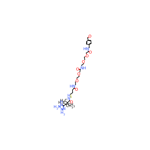 CC(C)(C(=O)NSCCCC(=O)NCCOCCOCC(=O)NCCOCCOCC(=O)NCc1ccc(C=O)cc1)C(C)(C)/C(=N/N)NN